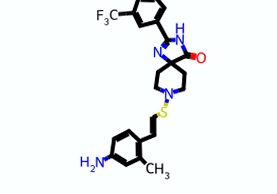 Cc1cc(N)ccc1/C=C/SN1CCC2(CC1)N=C(c1cccc(C(F)(F)F)c1)NC2=O